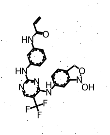 C=CC(=O)Nc1cccc(Nc2ncc(C(F)(F)F)c(Nc3ccc4c(c3)N(O)OC4)n2)c1